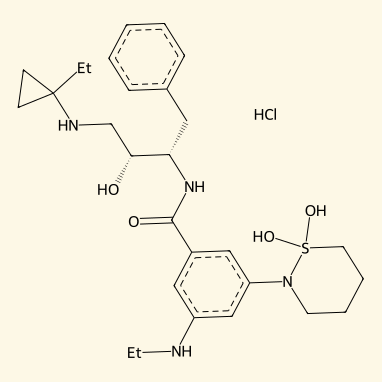 CCNc1cc(C(=O)N[C@@H](Cc2ccccc2)[C@H](O)CNC2(CC)CC2)cc(N2CCCCS2(O)O)c1.Cl